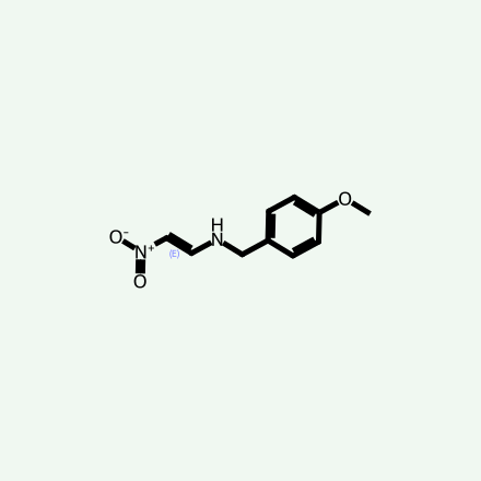 COc1ccc(CN/C=C/[N+](=O)[O-])cc1